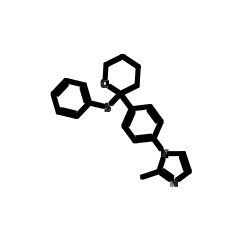 Cc1nccn1-c1ccc(C2(Sc3ccccc3)CCCCO2)cc1